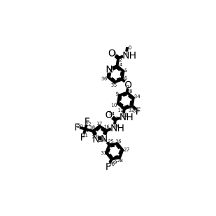 CNC(=O)c1cc(Oc2ccc(NC(=O)Nc3cc(C(F)(F)F)nn3-c3cccc(F)c3)c(F)c2)ccn1